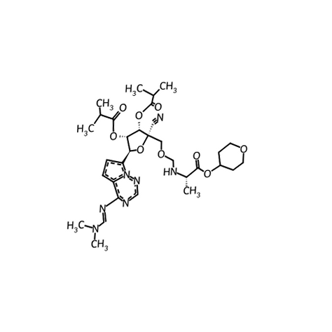 CC(C)C(=O)O[C@H]1[C@H](c2ccc3c(/N=C/N(C)C)ncnn23)O[C@](C#N)(COCN[C@@H](C)C(=O)OC2CCOCC2)[C@H]1OC(=O)C(C)C